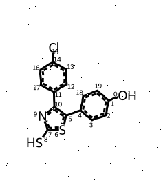 Oc1ccc(-c2sc(S)nc2-c2ccc(Cl)cc2)cc1